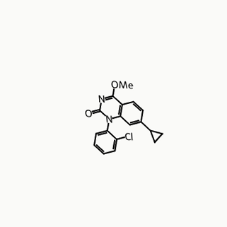 COc1nc(=O)n(-c2ccccc2Cl)c2cc(C3CC3)ccc12